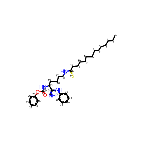 CCCCCCCCCCCCCC(=S)NCCCCC(NC(=O)Oc1ccccc1)C(=N)Nc1ccccc1